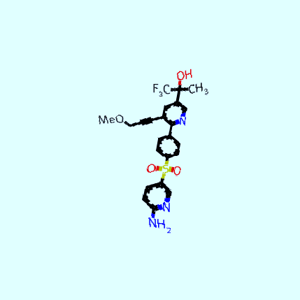 COCC#Cc1cc(C(C)(O)C(F)(F)F)cnc1-c1ccc(S(=O)(=O)c2ccc(N)nc2)cc1